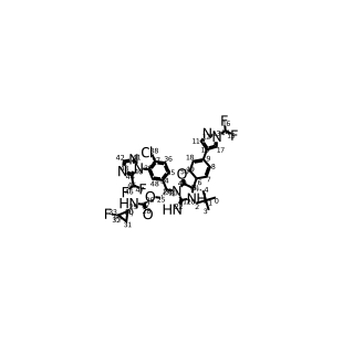 CC(C)(C)C[C@]1(C2C=CC(c3cnn(C(F)F)c3)=CC2)NC(=N)N([C@H](COC(=O)N[C@@H]2C[C@H]2F)c2ccc(Cl)c(-n3ncnc3C(F)F)c2)C1=O